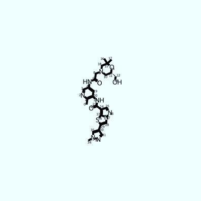 Cc1ncc(NC(=O)CN2C[C@@H](CO)OC(C)(C)C2)cc1NC(=O)c1cnn2cc(-c3cnn(C)c3)sc12